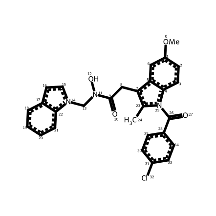 COc1ccc2c(c1)c(CC(=O)N(O)Cn1ccc3ccccc31)c(C)n2C(=O)c1ccc(Cl)cc1